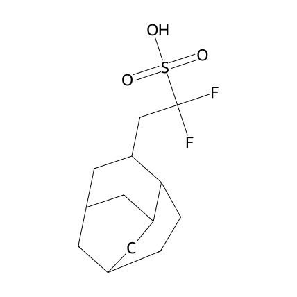 O=S(=O)(O)C(F)(F)CC1CC2CC3CCC1C(C3)C2